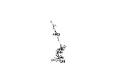 O=C(CCCCI)NCCCCCNC(=O)CCCCCCCCCCSC(C(=O)NCCNC(=O)c1ccc(-c2c3ccc(=O)cc-3oc3cc(O)ccc23)c(C(=O)O)c1)c1ccccc1